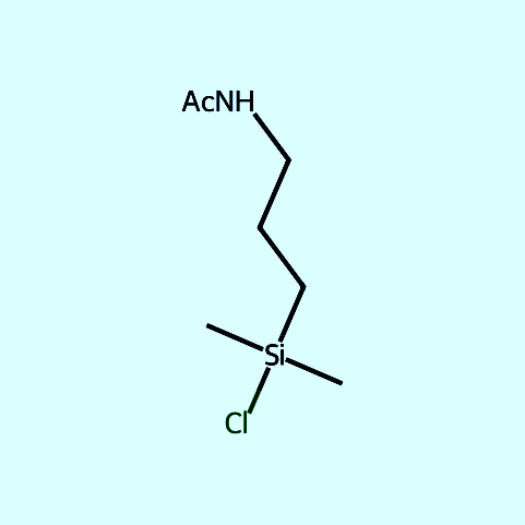 CC(=O)NCCC[Si](C)(C)Cl